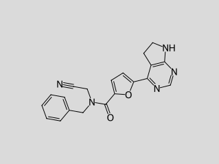 N#CCN(Cc1ccccc1)C(=O)c1ccc(-c2ncnc3c2CCN3)o1